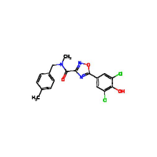 Cc1ccc(CN(C)C(=O)c2noc(-c3cc(Cl)c(O)c(Cl)c3)n2)cc1